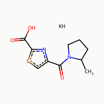 CC1CCCN1C(=O)c1csc(C(=O)O)n1.[KH]